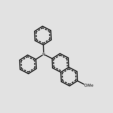 COc1ccc2cc(N(c3ccccc3)c3ccccc3)ccc2c1